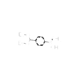 CCOC(OCC)c1ccc(B(C)C)cc1